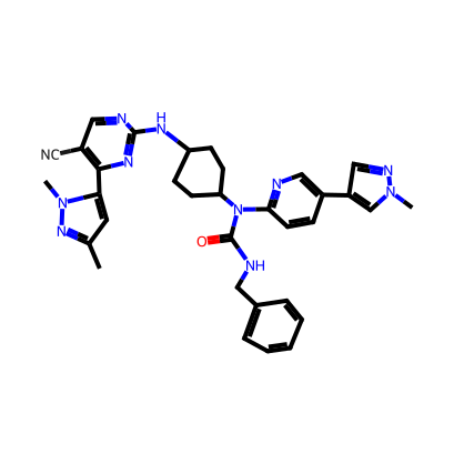 Cc1cc(-c2nc(NC3CCC(N(C(=O)NCc4ccccc4)c4ccc(-c5cnn(C)c5)cn4)CC3)ncc2C#N)n(C)n1